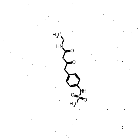 CCNC(=O)CC(=O)Cc1ccc(NS(C)(=O)=O)cc1